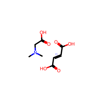 CN(C)CC(=O)O.O=C(O)/C=C/C(=O)O